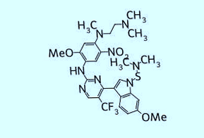 COc1ccc2c(-c3nc(Nc4cc([N+](=O)[O-])c(N(C)CCN(C)C)cc4OC)ncc3C(F)(F)F)cn(SN(C)C)c2c1